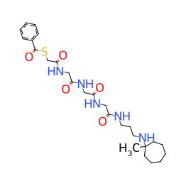 CC1(NCCCNC(=O)CNC(=O)CNC(=O)CNC(=O)CSC(=O)c2ccccc2)CCCCCC1